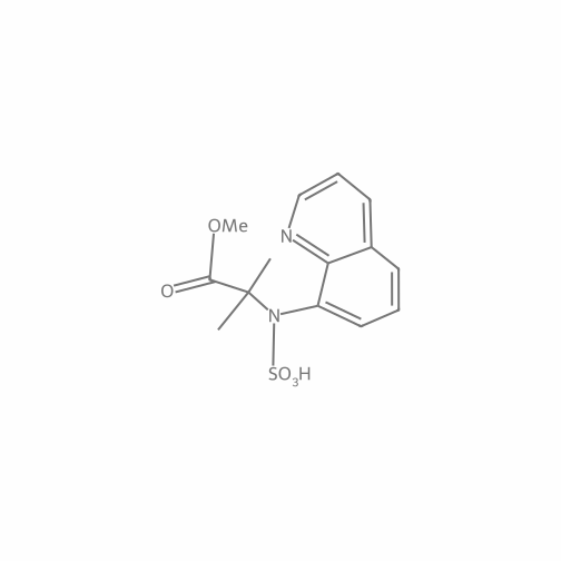 COC(=O)C(C)(C)N(c1cccc2cccnc12)S(=O)(=O)O